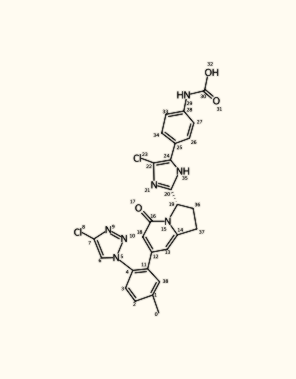 Cc1ccc(-n2cc(Cl)nn2)c(-c2cc3n(c(=O)c2)[C@H](c2nc(Cl)c(-c4ccc(NC(=O)O)cc4)[nH]2)CC3)c1